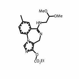 CCOC(=O)Oc1ncn2c1CN=C(NCC(OC)OC)c1cc(C)ccc1-2